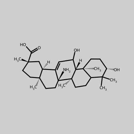 CC1(C)C2CC[C@]3(C)[C@H](C(O)C=C4[C@@H]5C[C@@](C)(C(=O)O)CC[C@]5(C)CC[C@]43N)[C@@]2(C)CC[C@@H]1O